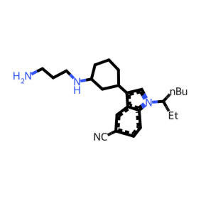 CCCCC(CC)n1cc(C2CCCC(NCCCN)C2)c2cc(C#N)ccc21